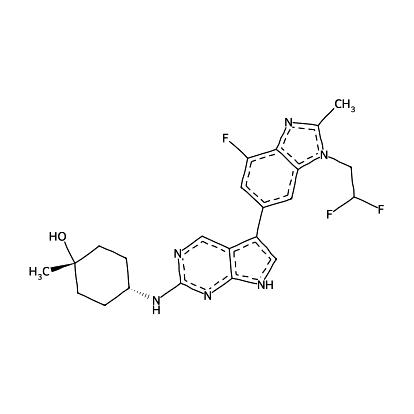 Cc1nc2c(F)cc(-c3c[nH]c4nc(N[C@H]5CC[C@@](C)(O)CC5)ncc34)cc2n1CC(F)F